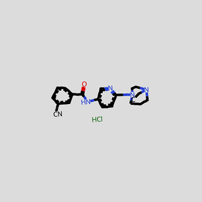 Cl.N#Cc1cccc(C(=O)Nc2ccc(N3CCN4CCC3CC4)nc2)c1